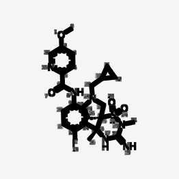 COc1ccc(C(=O)Nc2ccc(F)c([C@@]3(C)NC(=N)N(C)S(=O)(=O)[C@@]34CCN(CC3CC3)C4)c2)nc1